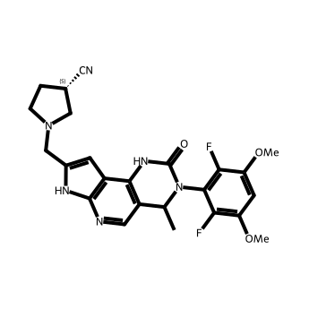 COc1cc(OC)c(F)c(N2C(=O)Nc3c(cnc4[nH]c(CN5CC[C@H](C#N)C5)cc34)C2C)c1F